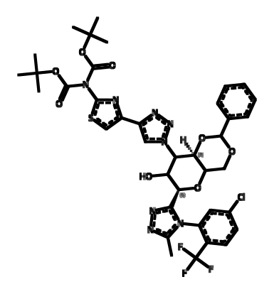 Cc1nnc([C@@H]2OC3COC(c4ccccc4)O[C@@H]3C(n3cc(-c4csc(N(C(=O)OC(C)(C)C)C(=O)OC(C)(C)C)n4)nn3)C2O)n1-c1cc(Cl)ccc1C(F)(F)F